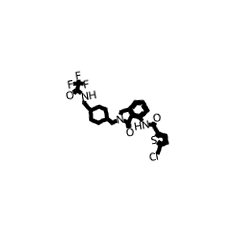 O=C(Nc1cccc2c1C(=O)N(CC1CCC(CNC(=O)C(F)(F)F)CC1)C2)c1ccc(Cl)s1